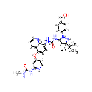 CNC(=O)Nc1cc(Oc2ccc(NC(=O)Nc3cc(C(C)(C)C)nn3-c3ccc(CO)cc3)c3ncccc23)ccn1